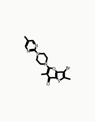 Cc1cnc(N2CCN(c3oc4c(Br)c(C)sc4c(=O)c3C)CC2)nc1